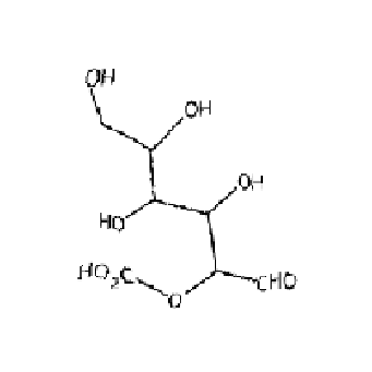 O=CC(OC(=O)O)C(O)C(O)C(O)CO